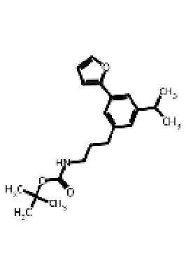 CC(C)c1cc(CCCNC(=O)OC(C)(C)C)cc(-c2ccco2)c1